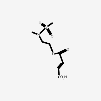 CN(CCOC(=O)C=CC(=O)O)S(C)(=O)=O